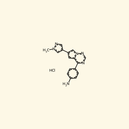 Cl.Cn1cc(-c2cc3c(-c4ccc(N)cc4)ncnn3c2)cn1